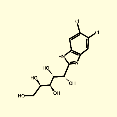 OC[C@@H](O)[C@H](O)[C@H](O)[C@@H](O)c1nc2cc(Cl)c(Cl)cc2[nH]1